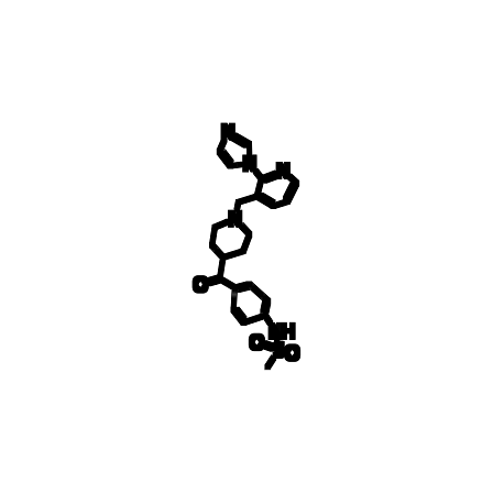 CS(=O)(=O)Nc1ccc(C(=O)C2CCN(Cc3cccnc3-n3ccnc3)CC2)cc1